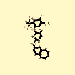 Cc1cc(Nc2nc(Nc3ccc4c(c3)CCCCC4)ncc2Cl)c(P(C)(C)=O)cc1F